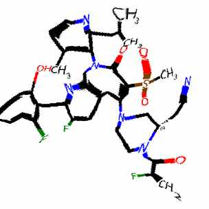 C=C(F)C(=O)N1CCN(c2c(S(C)(=O)=O)c(=O)n(-c3c(C)ccnc3C(C)C)c3nc(-c4c(O)cccc4F)c(F)cc23)C[C@@H]1CC#N